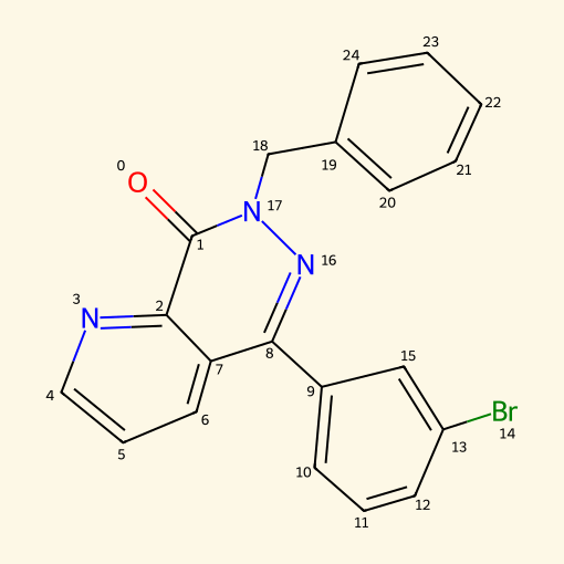 O=c1c2ncccc2c(-c2cccc(Br)c2)nn1Cc1ccccc1